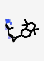 CC(/C=C1/CC1C1CCC2C(C1)C(C)(C)CCC2(C)C)=C\N